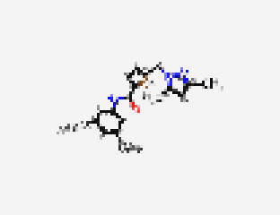 COc1cc(NC(=O)c2ccc(Cn3nc(C)cc3C)s2)cc(OC)c1